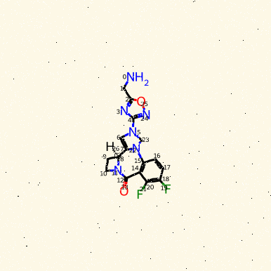 NCc1nc(N2C=C3[C@@H]4CCN4C(=O)c4c(ccc(F)c4F)N3C2)no1